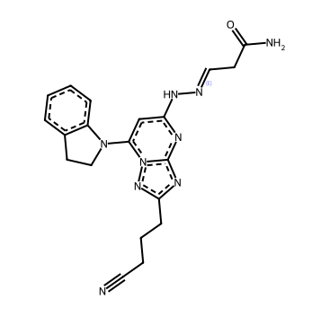 N#CCCCc1nc2nc(N/N=C/CC(N)=O)cc(N3CCc4ccccc43)n2n1